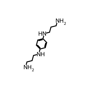 NCCCNc1ccc(NCCCN)cc1